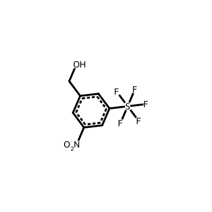 O=[N+]([O-])c1cc(CO)cc(S(F)(F)(F)(F)F)c1